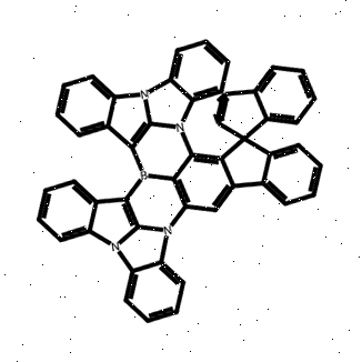 c1ccc2c(c1)-c1ccccc1C21c2ccccc2-c2cc3c4c(c21)-n1c2ccccc2n2c5ccccc5c(c12)B4c1c2ccccc2n2c4ccccc4n-3c12